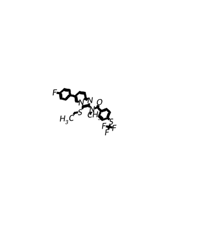 CCSc1c(N(C)C(=O)c2ccc(SC(F)(F)F)cc2)nc2ccc(-c3ccc(F)cc3)cn12